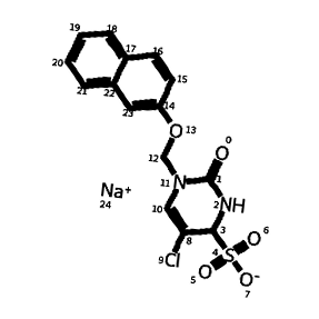 O=C1NC(S(=O)(=O)[O-])C(Cl)=CN1COc1ccc2ccccc2c1.[Na+]